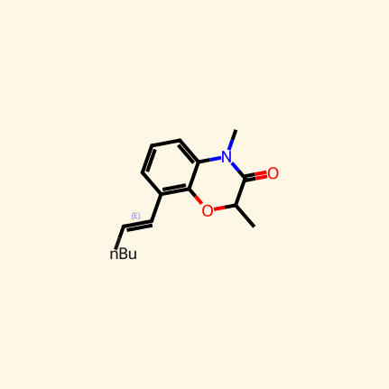 CCCC/C=C/c1cccc2c1OC(C)C(=O)N2C